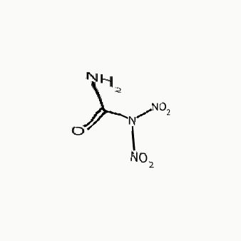 NC(=O)N([N+](=O)[O-])[N+](=O)[O-]